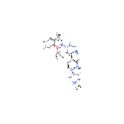 C[C@H](CNc1cc(-c2ccc(N3CCN(C)CC3)nc2)ncn1)c1ccccc1OC1CC1